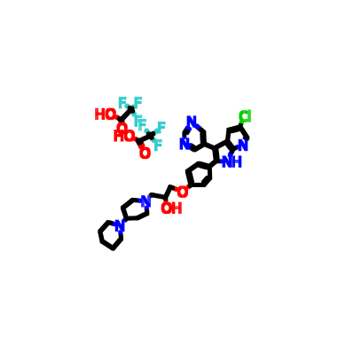 O=C(O)C(F)(F)F.O=C(O)C(F)(F)F.OC(COc1ccc(-c2[nH]c3ncc(Cl)cc3c2-c2cncnc2)cc1)CN1CCC(N2CCCCC2)CC1